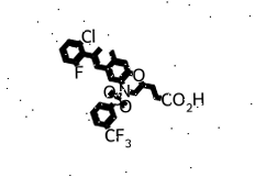 CC(=Cc1cc2c(cc1C)OC(CCC(=O)O)CN2S(=O)(=O)c1cccc(C(F)(F)F)c1)c1c(F)cccc1Cl